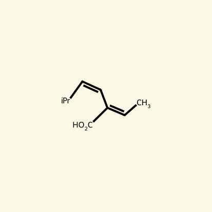 C/C=C(\C=C/C(C)C)C(=O)O